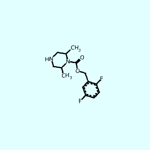 CC1CNCC(C)N1C(=O)OCc1cc(F)ccc1F